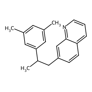 Cc1cc(C)cc(C(C)Cc2ccc3cccnc3c2)c1